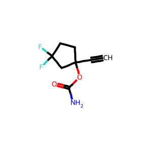 C#CC1(OC(N)=O)CCC(F)(F)C1